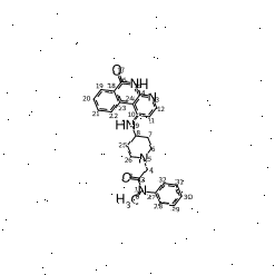 CN(C(=O)CN1CCC(Nc2ccnc3[nH]c(=O)c4ccccc4c23)CC1)c1ccccc1